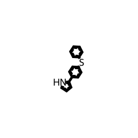 c1ccc(Sc2ccc(-c3ccc[nH]3)cc2)cc1